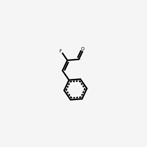 O=[C]/C(F)=C\c1ccccc1